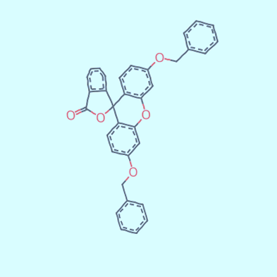 O=C1OC2(c3ccc(OCc4ccccc4)cc3Oc3cc(OCc4ccccc4)ccc32)c2ccccc21